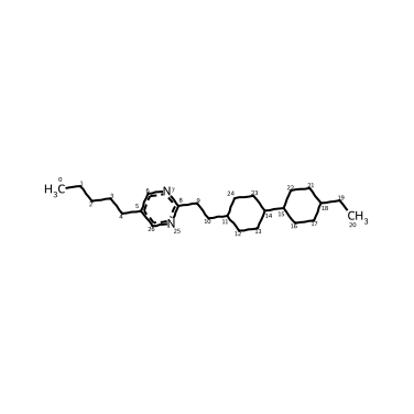 CCCCCc1cnc(CCC2CCC(C3CCC(CC)CC3)CC2)nc1